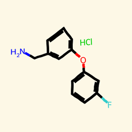 Cl.NCc1cccc(Oc2cccc(F)c2)c1